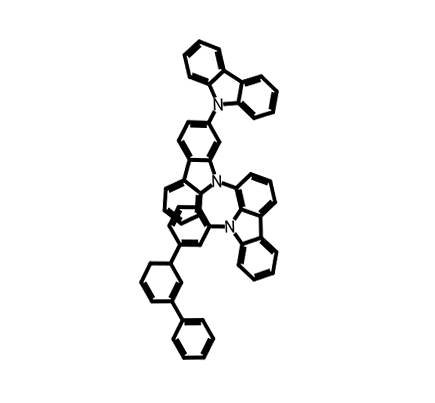 C1=CC(c2ccccc2)=CC(c2cccc(-n3c4ccccc4c4cccc(-n5c6ccccc6c6ccc(-n7c8ccccc8c8ccccc87)cc65)c43)c2)C1